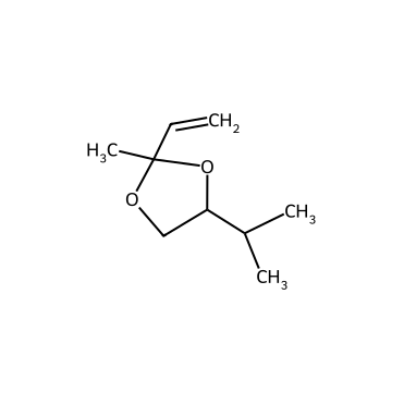 C=CC1(C)OCC(C(C)C)O1